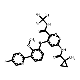 [2H]C([2H])([2H])NC(=O)c1nnc(NC(=O)C2(C)CC2)cc1Nc1cccc(-c2ncc(F)cn2)c1OC